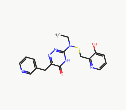 CCN(SCc1ncccc1O)c1nnc(Cc2cccnc2)c(=O)[nH]1